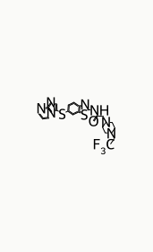 O=C(CN1CCN(CC(F)(F)F)CC1)Nc1nc2ccc(Sc3cnc4ncccn34)cc2s1